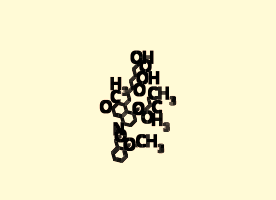 CCOc1ccccc1CON=C1CCC(OC(=O)C(C)CC)C2C1=CC(=O)C(C)C2CCC(=O)CC(O)CC(=O)O